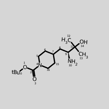 CC(C)(C)OC(=O)N1CCC(C[C@H](N)C(C)(C)O)CC1